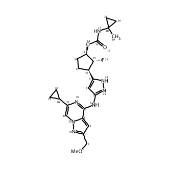 COCc1cc2c(Nc3cc([C@H]4CC[C@@H](OC(=O)NC5(C)CC5)[C@@H]4F)[nH]n3)nc(C3CC3)cn2n1